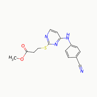 COC(=O)CCSc1nccc(Nc2ccc(C#N)cc2)n1